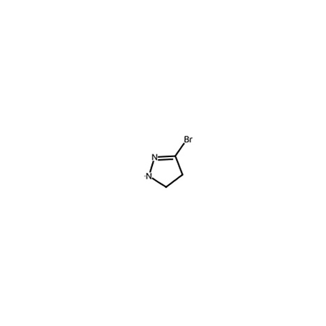 BrC1=N[N]CC1